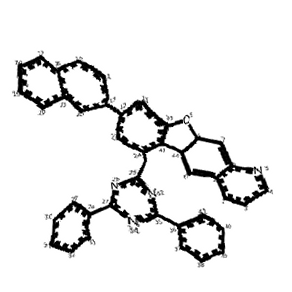 C1=c2cccnc2=CC2Oc3cc(-c4ccc5ccccc5c4)cc(-c4nc(-c5ccccc5)nc(-c5ccccc5)n4)c3C12